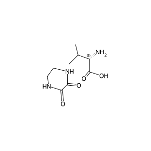 CC(C)[C@H](N)C(=O)O.O=C1NCCNC1=O